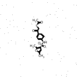 CC(=O)SCC(=O)c1ccc(NS(=O)(=O)c2cc(C)oc2C)cc1